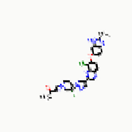 CC(=O)/C=C/N1CC[C@H](n2cc(-c3cnc4ccc(Oc5ccc6nc(C)[nH]c6c5)c(Cl)c4n3)cn2)[C@@H](F)C1